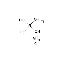 O[Si](O)(O)O.[AlH3].[Cr].[Ti]